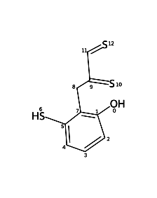 Oc1cccc(S)c1CC(=S)C=S